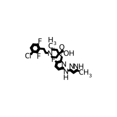 Cc1cc(Nc2ccc(F)c(C[C@@]3(C(=O)O)CCN(CCc4c(F)ccc(Cl)c4F)[C@H](C)C3)n2)n[nH]1